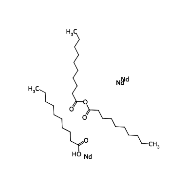 CCCCCCCCCC(=O)O.CCCCCCCCCC(=O)OC(=O)CCCCCCCCC.[Nd].[Nd].[Nd]